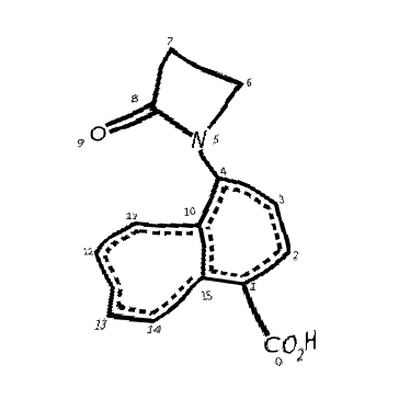 O=C(O)c1ccc(N2CCC2=O)c2ccccc12